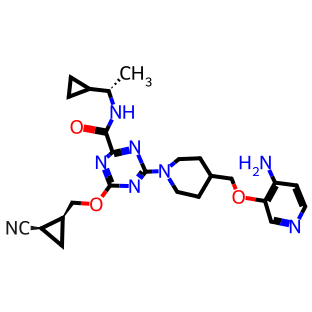 C[C@H](NC(=O)c1nc(OC[C@H]2C[C@H]2C#N)nc(N2CCC(COc3cnccc3N)CC2)n1)C1CC1